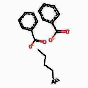 CCC[CH2][Al+2].O=C([O-])c1ccccc1.O=C([O-])c1ccccc1